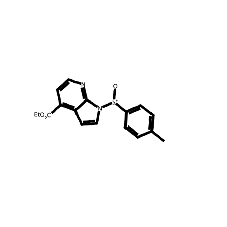 CCOC(=O)c1ccnc2c1ccn2[S+]([O-])c1ccc(C)cc1